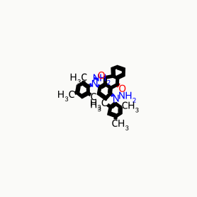 Cc1cc(C)c(N(N)c2ccc(N(N)c3c(C)cc(C)cc3C)c3c2C(=O)c2ccccc2C3=O)c(C)c1